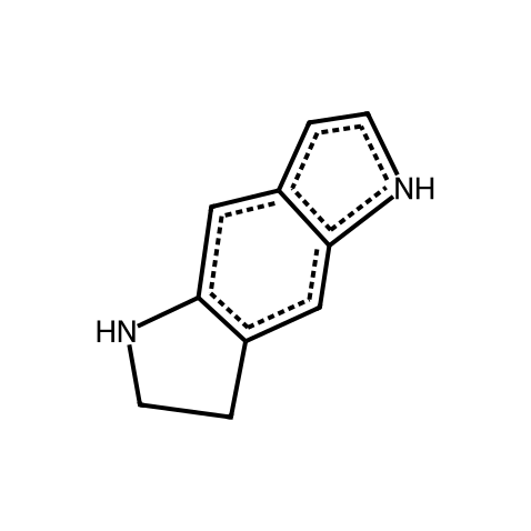 c1cc2cc3c(cc2[nH]1)CCN3